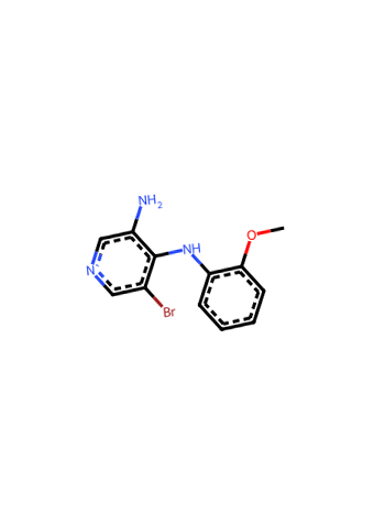 COc1ccccc1Nc1c(N)cncc1Br